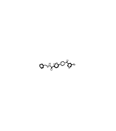 O=C(NSCc1ccccc1)c1ccc(N2CCN(C(=O)c3cncc(Br)c3)CC2)nn1